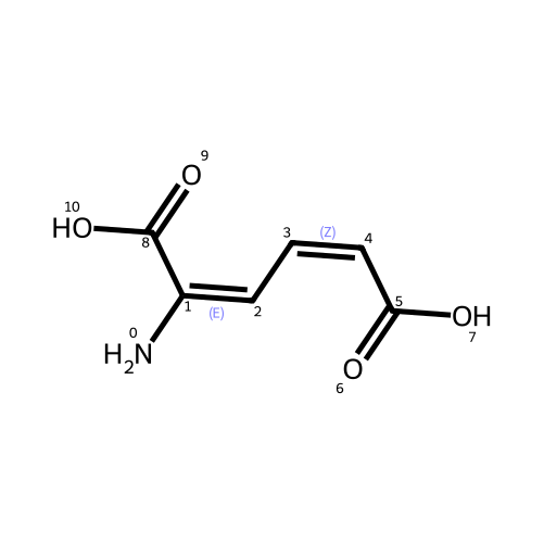 N/C(=C/C=C\C(=O)O)C(=O)O